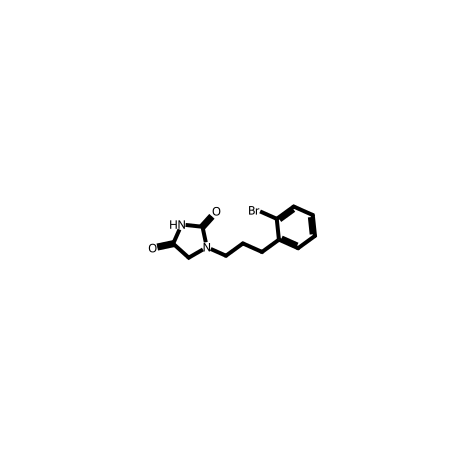 O=C1CN(CCCc2ccccc2Br)C(=O)N1